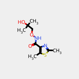 Cc1nc(C(=O)NOCC(C)(C)O)c(C)s1